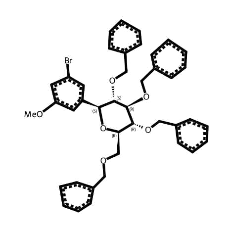 COc1cc(Br)cc([C@@H]2O[C@H](COCc3ccccc3)[C@@H](OCc3ccccc3)[C@H](OCc3ccccc3)[C@H]2OCc2ccccc2)c1